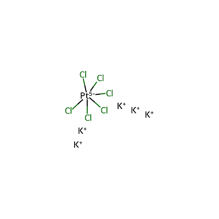 [Cl][Pt-5]([Cl])([Cl])([Cl])([Cl])[Cl].[K+].[K+].[K+].[K+].[K+]